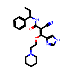 CCC(NC(=O)/C(C#N)=C(\OCCN1CCCCC1)c1c[nH]cn1)c1ccccc1